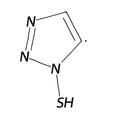 Sn1[c]cnn1